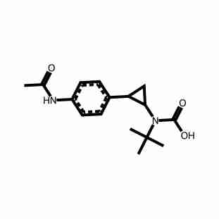 CC(=O)Nc1ccc(C2CC2N(C(=O)O)C(C)(C)C)cc1